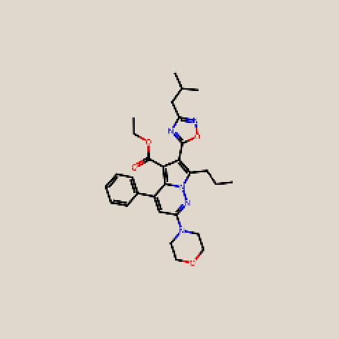 CCCc1c(-c2nc(CC(C)C)no2)c(C(=O)OCC)c2c(-c3ccccc3)cc(N3CCOCC3)nn12